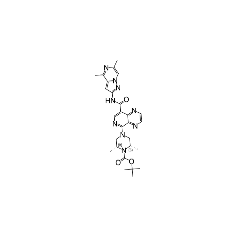 Cc1cn2nc(NC(=O)c3cnc(N4C[C@@H](C)N(C(=O)OC(C)(C)C)[C@@H](C)C4)c4nccnc34)cc2c(C)n1